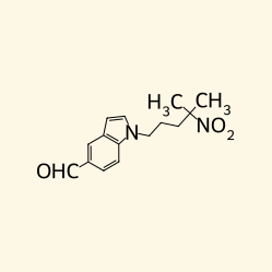 CC(C)(CCCn1ccc2cc(C=O)ccc21)[N+](=O)[O-]